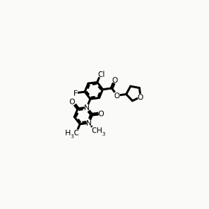 Cc1cc(=O)n(-c2cc(C(=O)OC3CCOC3)c(Cl)cc2F)c(=O)n1C